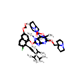 COCOc1cc(Oc2nc3nc(OCC45CCCN4CCC5)nc(N4CC5CCC(C4)N5C(=O)OC(C)(C)C)c3n2C)c2c(C#C[Si](C(C)C)(C(C)C)C(C)C)c(F)ccc2c1